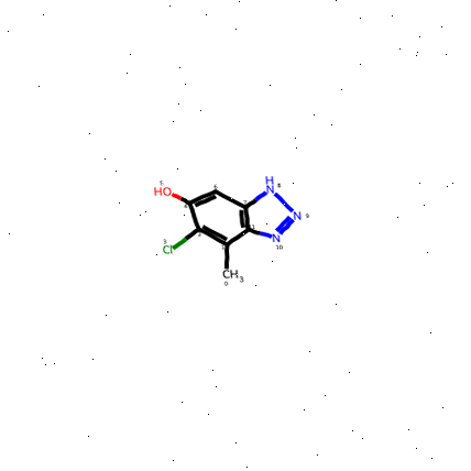 Cc1c(Cl)c(O)cc2[nH]nnc12